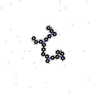 c1ccc(-c2cccc(-c3ccc4c(c3)c3cc(-c5ccc(-c6cccc(-c7ccc8c(c7)c7ccccc7n8-c7ccc(-c8ccc(-n9c%10ccccc%10c%10ccc%11sc%12ccccc%12c%11c%109)cc8)cc7)c6)cc5)ccc3n4-c3ccc(-c4ccc(-n5c6ccccc6c6cc7sc8ccccc8c7cc65)cc4)cc3)c2)cc1